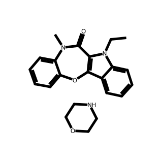 C1COCCN1.CCn1c2c(c3ccccc31)Oc1ccccc1N(C)C2=O